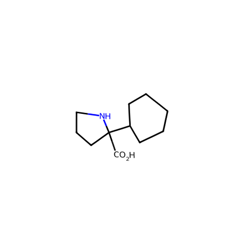 O=C(O)C1(C2CCCCC2)CCCN1